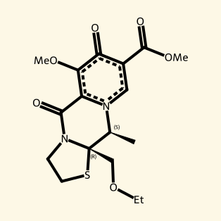 CCOC[C@@]12SCCN1C(=O)c1c(OC)c(=O)c(C(=O)OC)cn1[C@H]2C